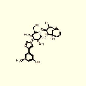 CCN(C)C(=O)[C@@H](S[C@@H]1O[C@H](CO)[C@H](O)[C@H](n2cc(-c3cc(C)cc(C#N)c3)nn2)[C@H]1O)C1(O)CCOCC1